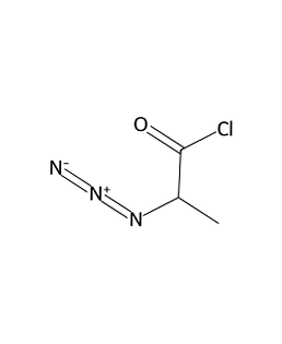 CC(N=[N+]=[N-])C(=O)Cl